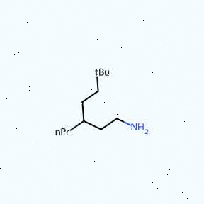 CCCC(CCN)CCC(C)(C)C